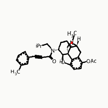 CC(=O)Oc1ccc2c3c1C[C@@H]1[C@@H]4CC[C@@H](N(CC(C)C)C(=O)C#Cc5cccc(C)c5)[C@H](O2)[C@]34CCN1C